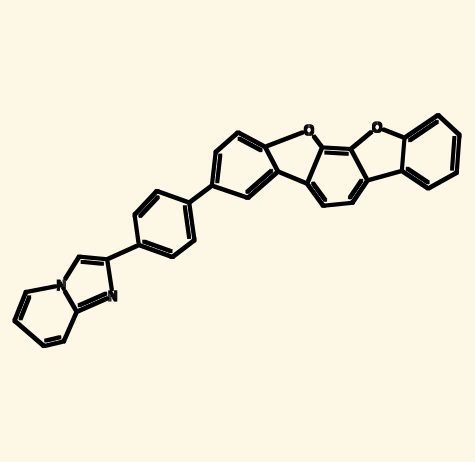 c1ccc2c(c1)oc1c2ccc2c3cc(-c4ccc(-c5cn6ccccc6n5)cc4)ccc3oc21